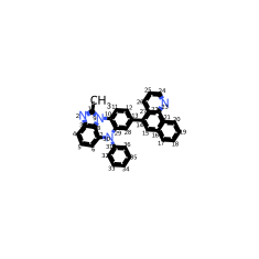 Cc1nc2cccc3c2n1-c1ccc(-c2cc4ccccc4c4ncccc24)cc1N3c1ccccc1